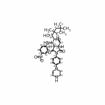 CC(C)(C)CC(C)(C)[C@@H](O)C1C=C[C@H]2C(=O)N(c3ccc(N4CCNCC4)cc3)C(=O)[C@H]2N1Nc1ccc([N+](=O)[O-])cc1